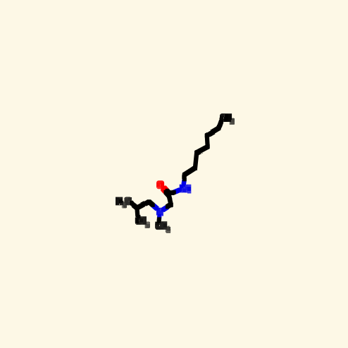 CCCCCCCNC(=O)CN(C)CC(C)C